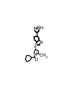 C[C@@H]1C[C@H](Cn2cnc3cc(-c4cn[nH]c4)ccc32)CN1C(=O)C1CCCCC1